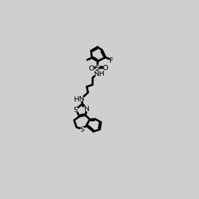 Cc1cccc(F)c1S(=O)(=O)NCCCCNc1nc2c(s1)CCSc1ccccc1-2